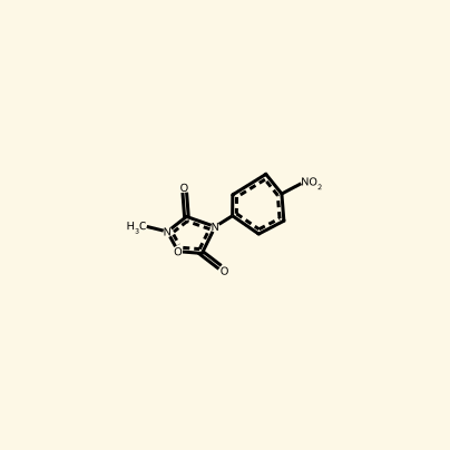 Cn1oc(=O)n(-c2ccc([N+](=O)[O-])cc2)c1=O